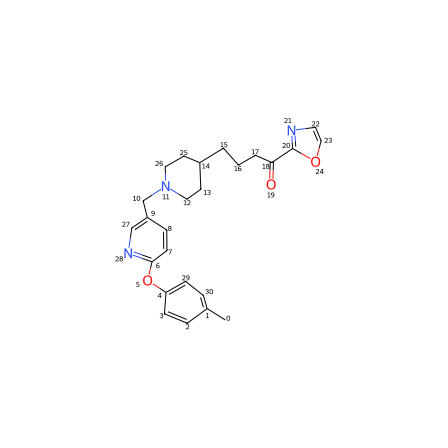 Cc1ccc(Oc2ccc(CN3CCC(CCCC(=O)c4ncco4)CC3)cn2)cc1